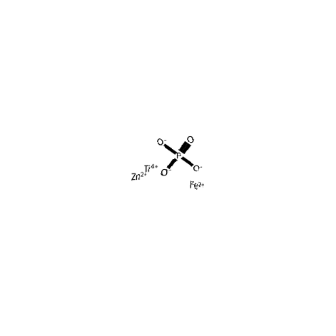 O=P([O-])([O-])[O-].[Fe+2].[Ti+4].[Zn+2]